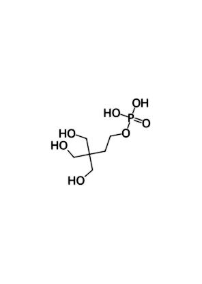 O=P(O)(O)OCCC(CO)(CO)CO